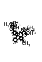 COc1ccc2c(c1)C=C(c1ncn(C(C)C)c1C(=O)O)Cn1c-2c(C2CCCCC2)c2ccc(C(=O)NS(=O)(=O)N(C)C)cc21